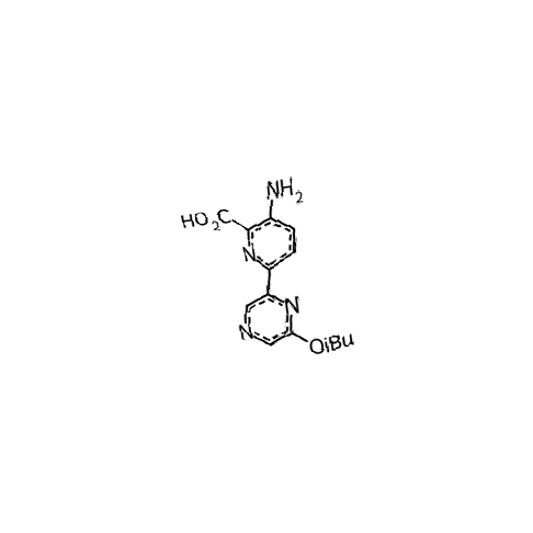 CC(C)COc1cncc(-c2ccc(N)c(C(=O)O)n2)n1